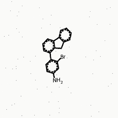 Nc1ccc(-c2cccc3c2Cc2ccccc2-3)c(Br)c1